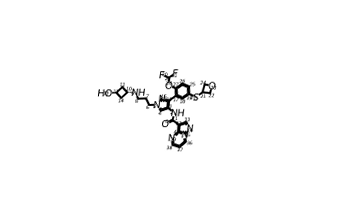 O=C(Nc1cn(CCCN[C@H]2C[C@H](O)C2)nc1-c1cc(SC2COC2)ccc1OC(F)F)c1cnn2cccnc12